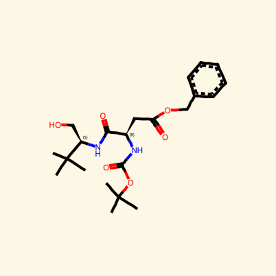 CC(C)(C)OC(=O)N[C@H](CC(=O)OCc1ccccc1)C(=O)N[C@H](CO)C(C)(C)C